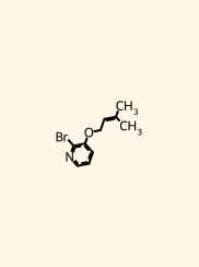 CC(C)=CCOc1cccnc1Br